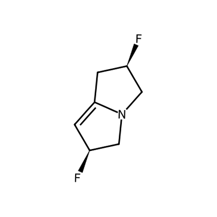 F[C@@H]1CC2=C[C@H](F)CN2C1